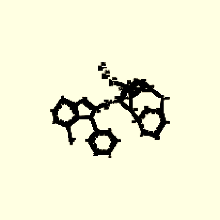 Brc1cccc2c1C(c1ccccc1)[C]([Zr+2][C]1=Cc3c4ccc(Br)c3C1c1cccc(c1)S4)=C2.[Br-].[Br-]